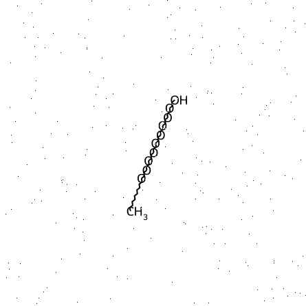 CCCCCCCCCCCOCCOCCOCCOCCOCCOCCOCCOCCOCCO